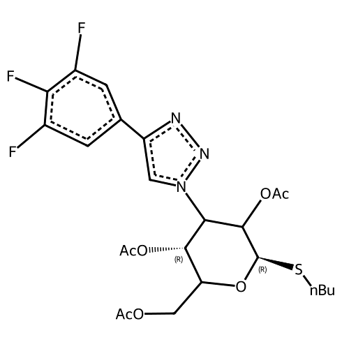 CCCCS[C@H]1OC(COC(C)=O)[C@H](OC(C)=O)C(n2cc(-c3cc(F)c(F)c(F)c3)nn2)C1OC(C)=O